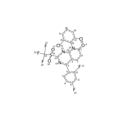 O=c1ccc2c(-c3ccc(F)cc3F)nc(S(=O)(=O)C(F)(F)F)nc2n1-c1c(Cl)cccc1Cl